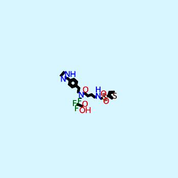 CN(CCc1ccc(C2=NCCN2)cc1)C(=O)CCCNCS(=O)(=O)c1ccsc1.O=C(O)C(F)(F)F